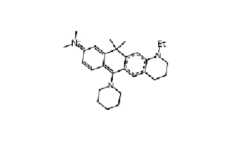 CCN1CCCc2cc3c(cc21)C(C)(C)C1=CC(=[N+](C)C)C=CC1=C3N1CCCCC1